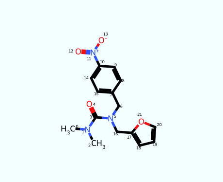 CN(C)C(=O)N(Cc1ccc([N+](=O)[O-])cc1)Cc1ccco1